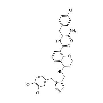 NC(=O)C(Cc1ccc(Cl)cc1)NC(=O)c1cccc2c1OCCC2NCc1cncn1Cc1ccc(Cl)c(Cl)c1